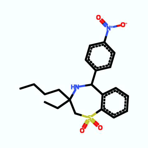 CCCCC1(CC)CS(=O)(=O)c2ccccc2C(c2ccc([N+](=O)[O-])cc2)N1